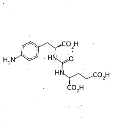 Nc1ccc(C[C@H](NC(=O)N[C@@H](CCC(=O)O)C(=O)O)C(=O)O)cc1